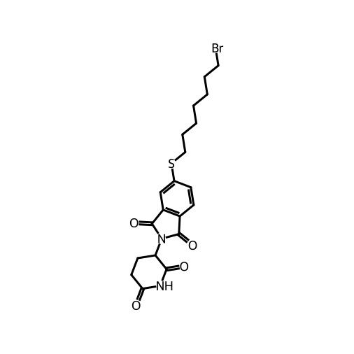 O=C1CCC(N2C(=O)c3ccc(SCCCCCCCBr)cc3C2=O)C(=O)N1